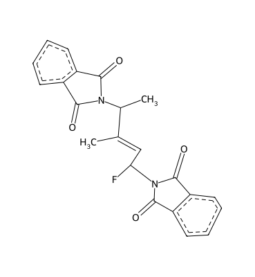 C/C(=C\C(F)N1C(=O)c2ccccc2C1=O)C(C)N1C(=O)c2ccccc2C1=O